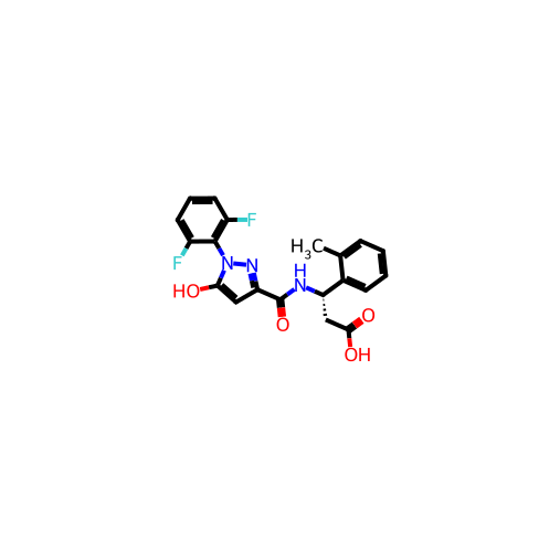 Cc1ccccc1[C@H](CC(=O)O)NC(=O)c1cc(O)n(-c2c(F)cccc2F)n1